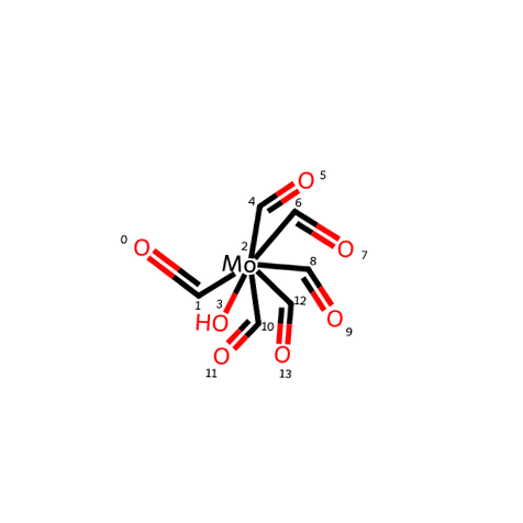 O=[CH][Mo]([OH])([CH]=O)([CH]=O)([CH]=O)([CH]=O)[CH]=O